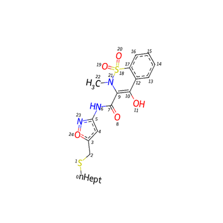 CCCCCCCSCc1cc(NC(=O)C2=C(O)c3ccccc3S(=O)(=O)N2C)no1